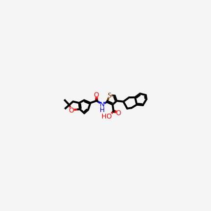 CC1(C)Cc2cc(C(=O)Nc3scc(C4CCc5ccccc5C4)c3C(=O)O)ccc2O1